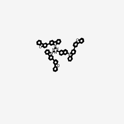 c1ccc2c(c1)oc1ccc(-c3ccc4c5ccccc5n(-c5ccc6cc(-c7nc(-n8c9ccccc9c9ccc(-c%10ccc%11oc%12ccccc%12c%11c%10)cc98)nc(-n8c9ccccc9c9ccc(-c%10ccc%11oc%12ccccc%12c%11c%10)cc98)n7)ccc6c5)c4c3)cc12